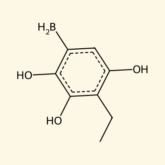 Bc1cc(O)c(CC)c(O)c1O